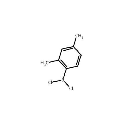 Cc1ccc(B(Cl)Cl)c(C)c1